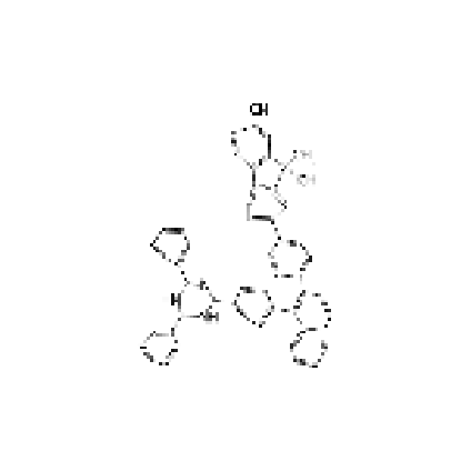 CC1(C)c2cc(C#N)ccc2-c2ccc(-c3ccc(-c4ccc5ccccc5c4-c4ccc(C5N=C(c6ccccc6)NC(c6ccccc6)N5)cc4)cc3)cc21